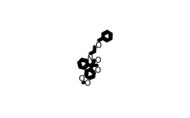 O=C1N(CCCOCc2ccccc2)c2ccccc2C12COc1cc3c(cc12)OCO3